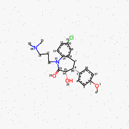 COc1ccc([C@H]2Cc3cc(Cl)ccc3N(CCCN(C)C)C(=O)[C@H]2O)cc1